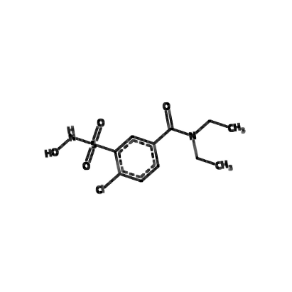 CCN(CC)C(=O)c1ccc(Cl)c(S(=O)(=O)NO)c1